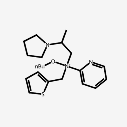 CCCCO[N+](Cc1cccs1)(CC(C)N1CCCC1)c1ccccn1